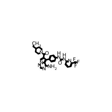 CCC1CCN(C(=O)c2cn3ncnc(N)c3c2-c2ccc(NC(=O)Nc3cccc(C(F)(F)F)n3)cc2)CC1